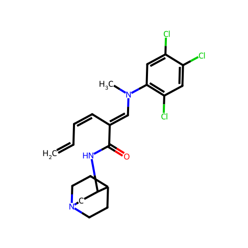 C=C/C=C\C(=C/N(C)c1cc(Cl)c(Cl)cc1Cl)C(=O)NC1CN2CCC1CC2